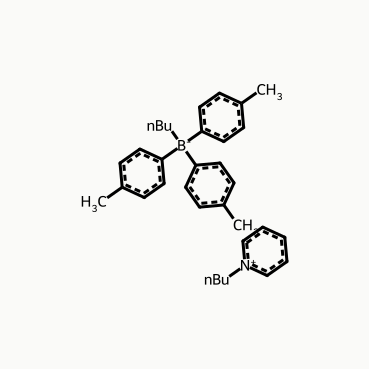 CCCC[B-](c1ccc(C)cc1)(c1ccc(C)cc1)c1ccc(C)cc1.CCCC[n+]1ccccc1